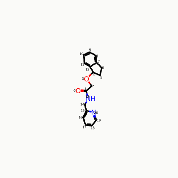 O=C(COC1CCc2ccccc21)NCc1ccccn1